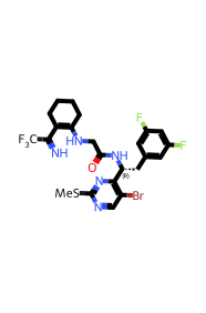 CSc1ncc(Br)c([C@@H](Cc2cc(F)cc(F)c2)NC(=O)CNC2=C(C(=N)C(F)(F)F)CCCC2)n1